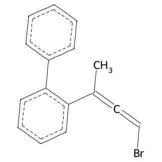 CC(=C=CBr)c1ccccc1-c1ccccc1